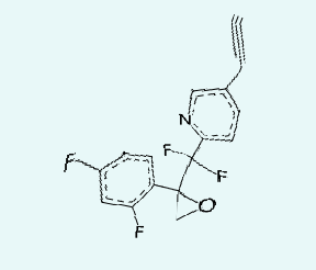 C#Cc1ccc(C(F)(F)C2(c3ccc(F)cc3F)CO2)nc1